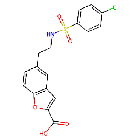 O=C(O)c1cc2cc(CCNS(=O)(=O)c3ccc(Cl)cc3)ccc2o1